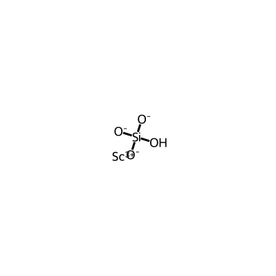 [O-][Si]([O-])([O-])O.[Sc+3]